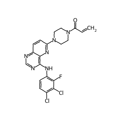 C=CC(=O)N1CCN(c2ccc3ncnc(Nc4ccc(Cl)c(Cl)c4F)c3n2)CC1